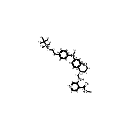 COC(=O)c1ccncc1NC[C@@H]1CCOc2cc(N(C)c3ccc(CCO[Si](C)(C)C(C)(C)C)cc3)ccc21